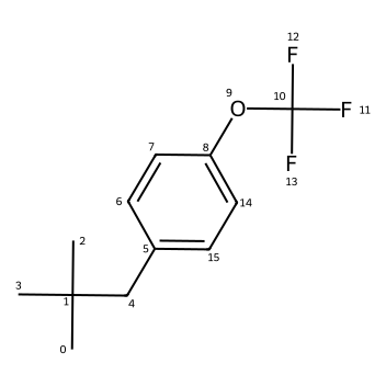 CC(C)(C)Cc1ccc(OC(F)(F)F)cc1